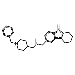 c1ccc(CN2CCC(CNCc3ccc4[nH]c5c(c4c3)CCCC5)CC2)cc1